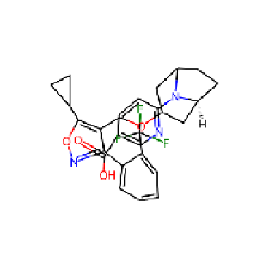 O=C(O)c1ccc(N2C3CC[C@H]2CC(OCc2c(-c4ccccc4C(F)(F)F)noc2C2CC2)C3)nc1